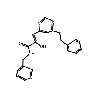 O=C(NCc1cccnc1)/C(O)=C/c1cc(CCc2ccccc2)ncn1